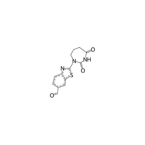 O=Cc1ccc2nc(N3CCCC(=O)NC3=O)sc2c1